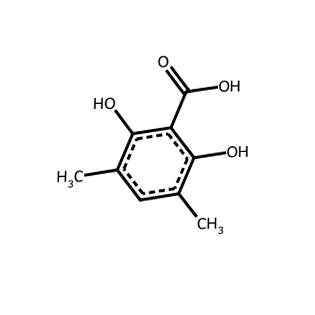 Cc1cc(C)c(O)c(C(=O)O)c1O